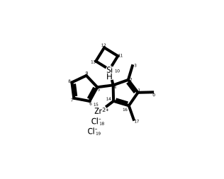 CC1=C(C)C(C2=CC=CC2)([SiH]2CCC2)[C]([Zr+2])=C1C.[Cl-].[Cl-]